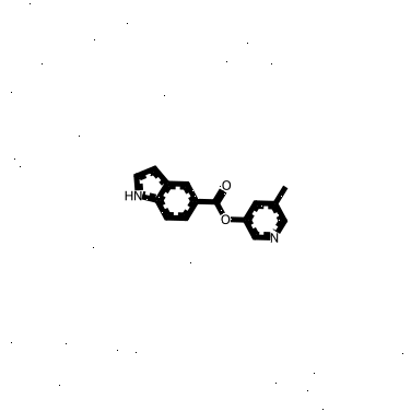 Cc1cncc(OC(=O)c2ccc3[nH]ccc3c2)c1